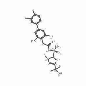 Cc1ccc(-c2cc(C(C)C)c(CC(=O)N=S(N)(=O)C3SC(C(C)(C)O)=CN3C)c(C(C)C)c2)cc1C